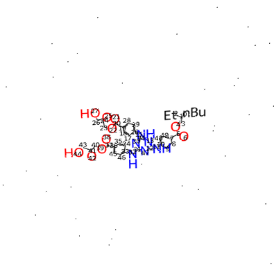 CCCCC(CC)COC(=O)c1ccc(Nc2nc(Nc3ccc(C(=O)OCC(=O)CO)cc3)nc(Nc3ccc(C(=O)OCC(=O)CO)cc3)n2)cc1